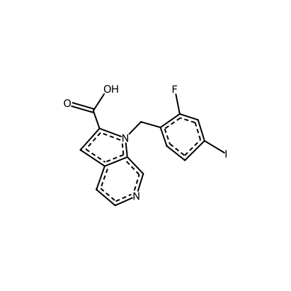 O=C(O)c1cc2ccncc2n1Cc1ccc(I)cc1F